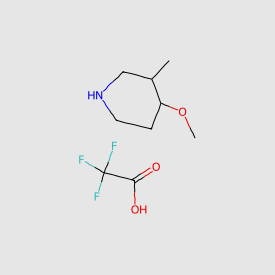 COC1CCNCC1C.O=C(O)C(F)(F)F